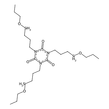 CCCO[SiH2]CCCn1c(=O)n(CCC[SiH2]OCCC)c(=O)n(CCC[SiH2]OCCC)c1=O